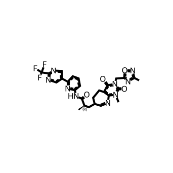 Cc1noc(Cn2c(=O)c3c(n(C)c2=O)N=CC(C[C@@H](C)C(=O)Nc2cccc(-c4cnc(C(F)(F)F)nc4)n2)CC3)n1